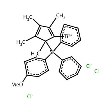 COc1ccc([Si](c2ccccc2)(c2ccccc2)C2(C)C(C)=C(C)C(C)=[C]2[Ti+3])cc1.[Cl-].[Cl-].[Cl-]